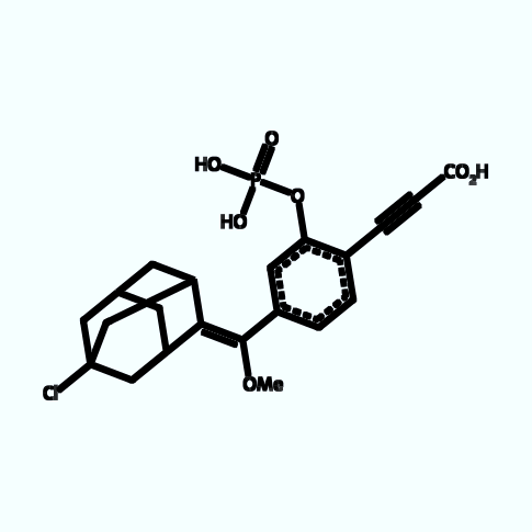 COC(=C1C2CC3CC1CC(Cl)(C3)C2)c1ccc(C#CC(=O)O)c(OP(=O)(O)O)c1